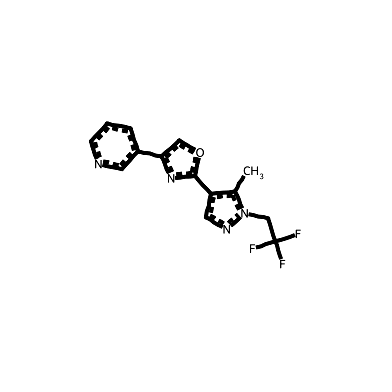 Cc1c(-c2nc(-c3cccnc3)co2)cnn1CC(F)(F)F